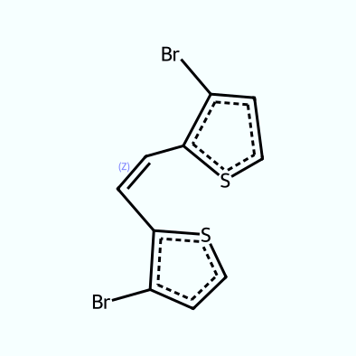 Brc1ccsc1/C=C\c1sccc1Br